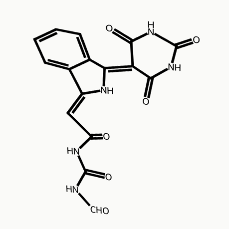 O=CNC(=O)NC(=O)/C=c1\[nH]c(=C2C(=O)NC(=O)NC2=O)c2ccccc12